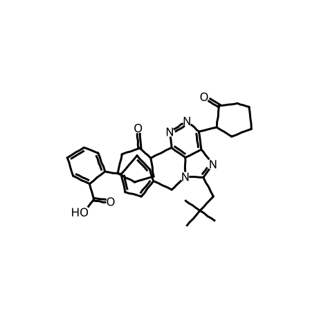 CC(C)(C)Cc1nc2c(C3CCCCC3=O)nnc(C3CCCCC3=O)c2n1Cc1ccc(-c2ccccc2C(=O)O)cc1